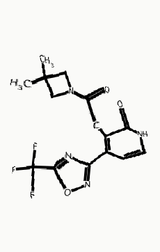 CC1(C)CN(C(=O)Cc2c(-c3noc(C(F)(F)F)n3)cc[nH]c2=O)C1